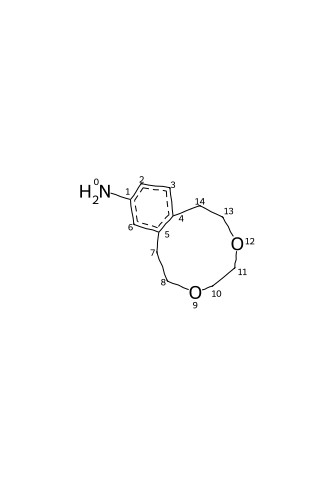 Nc1ccc2c(c1)CCOCCOCC2